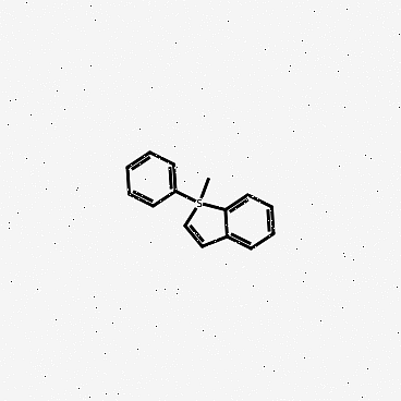 CS1(c2ccccc2)C=Cc2ccccc21